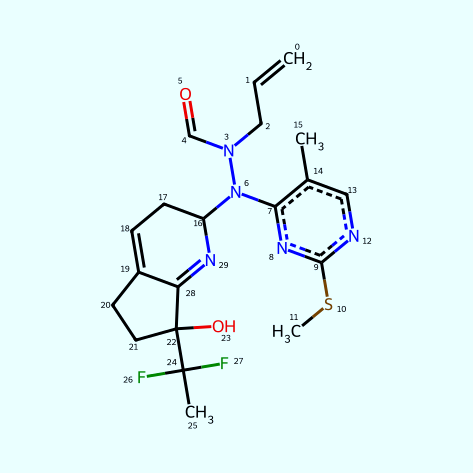 C=CCN(C=O)N(c1nc(SC)ncc1C)C1CC=C2CCC(O)(C(C)(F)F)C2=N1